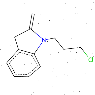 C=C1Cc2ccccc2N1CCCCl